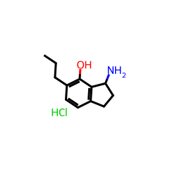 CCCc1ccc2c(c1O)C(N)CC2.Cl